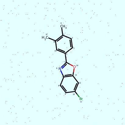 Cc1ccc(-c2nc3ccc(Br)cc3o2)cc1C